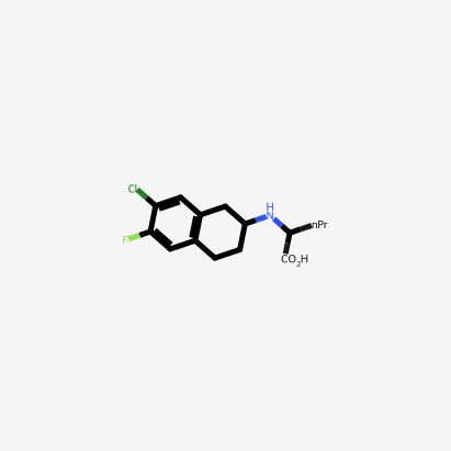 CCCC(NC1CCc2cc(F)c(Cl)cc2C1)C(=O)O